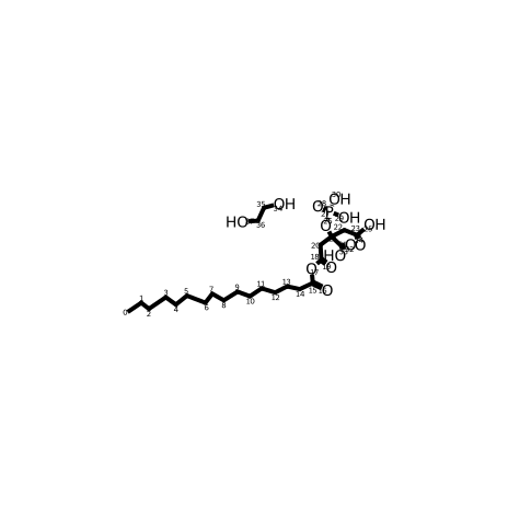 CCCCCCCCCCCCCCCC(=O)OC(=O)CC(CC(=O)O)(OP(=O)(O)O)C(=O)O.OCCO